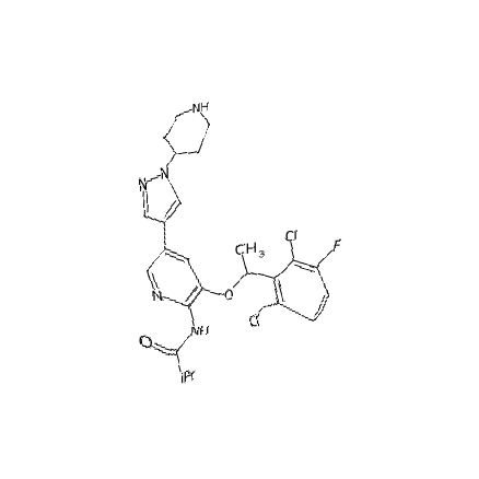 CC(C)C(=O)Nc1ncc(-c2cnn(C3CCNCC3)c2)cc1OC(C)c1c(Cl)ccc(F)c1Cl